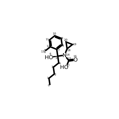 CCCCC[C@](O)(c1ccccc1I)N(C(=O)O)C1CC1